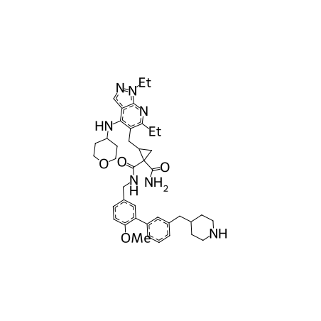 CCc1nc2c(cnn2CC)c(NC2CCOCC2)c1CC1CC1(C(N)=O)C(=O)NCc1ccc(OC)c(-c2cccc(CC3CCNCC3)c2)c1